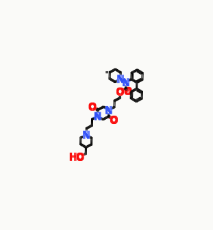 O=C1CN(CCCN2CCC(CO)CC2)C(=O)CN1CCCOC(=O)N(c1ccccc1-c1ccccc1)N1CC[CH]CC1